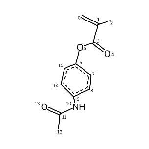 C=C(C)C(=O)Oc1ccc(NC(C)=O)cc1